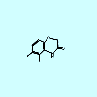 Cc1ccc2c(c1C)NC(=O)CO2